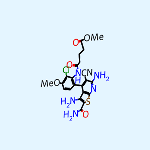 COC(=O)CCCC(=O)Nc1c(-c2c(C#N)c(N)nc3sc(C(N)=O)c(N)c23)ccc(OC)c1Cl